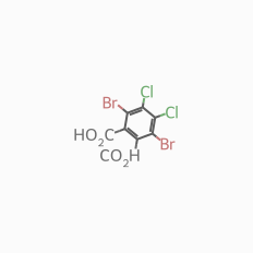 O=C(O)c1c(Br)c(Cl)c(Cl)c(Br)c1C(=O)O